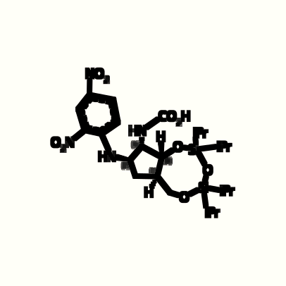 CC(C)[Si]1(C(C)C)OC[C@H]2C[C@@H](Nc3ccc([N+](=O)[O-])cc3[N+](=O)[O-])[C@H](NC(=O)O)[C@@H]2O[Si](C(C)C)(C(C)C)O1